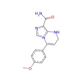 COc1ccc(C2=CCNc3c(C(N)=O)ncn32)cc1